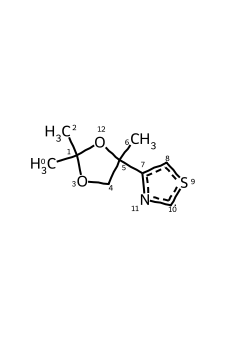 CC1(C)OCC(C)(c2cs[c]n2)O1